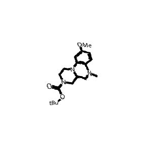 COc1ccc2c(c1)N1CCN(C(=O)OC(C)(C)C)CC1CN2C